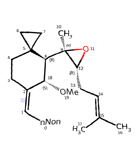 CCCCCCCCC/C=C1/CCC2(CC2)[C@@H]([C@@]2(C)O[C@@H]2CC=C(C)C)[C@@H]1OC